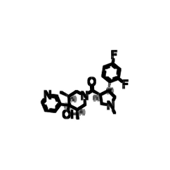 C[C@@H]1CN(C(=O)[C@@H]2CN(C)C[C@H]2c2ccc(F)cc2F)C[C@H](C)[C@@]1(O)c1cccnc1